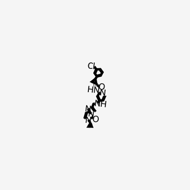 O=C(Nc1cc(NCc2cn3c(=O)n(C4CC4)ccc3n2)ccn1)[C@H]1CC1c1cccc(Cl)c1